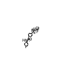 Cc1ccc(NP(C)(=O)Cc2ccc(-c3noc(C(F)(F)Cl)n3)cc2)cc1